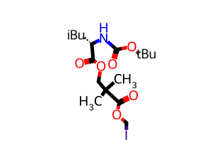 CCC(C)[C@H](NC(=O)OC(C)(C)C)C(=O)OCC(C)(C)C(=O)OCI